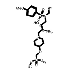 CCOP(=O)(COC1CCN(C[C@H](N)[C@H](O)CN(CC(C)C)S(=O)(=O)c2ccc(OC)cc2)CC1)OCC